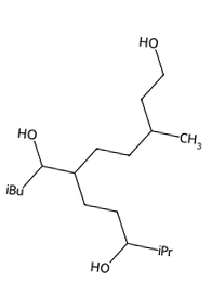 CCC(C)C(O)C(CCC(C)CCO)CCC(O)C(C)C